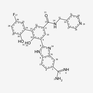 N=C(N)c1ccc2[nH]c(-c3cc(C(=O)NCc4ccncc4)cc(-c4cc(F)ccc4O)c3O)nc2c1